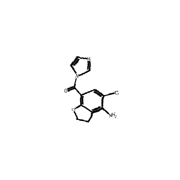 Nc1c(Cl)cc(C(=O)n2ccnc2)c2c1CCO2